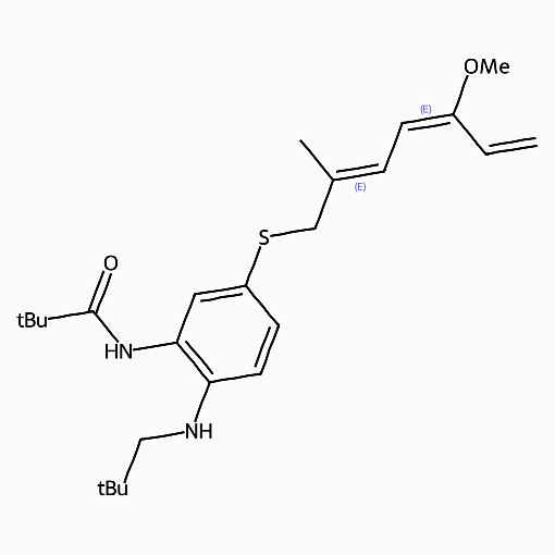 C=C/C(=C\C=C(/C)CSc1ccc(NCC(C)(C)C)c(NC(=O)C(C)(C)C)c1)OC